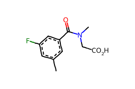 Cc1cc(F)cc(C(=O)N(C)CC(=O)O)c1